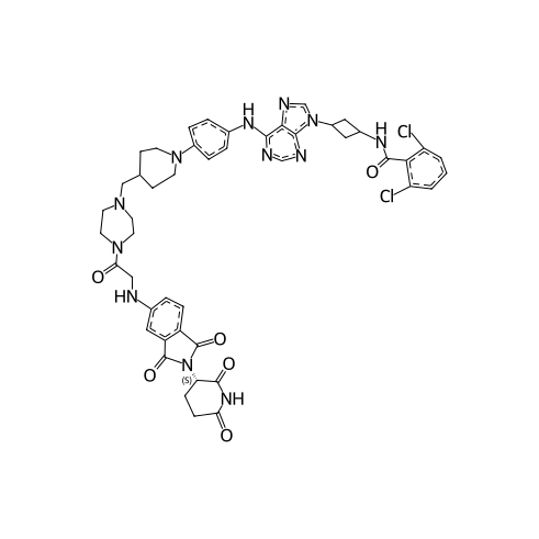 O=C1CC[C@H](N2C(=O)c3ccc(NCC(=O)N4CCN(CC5CCN(c6ccc(Nc7ncnc8c7ncn8C7CC(NC(=O)c8c(Cl)cccc8Cl)C7)cc6)CC5)CC4)cc3C2=O)C(=O)N1